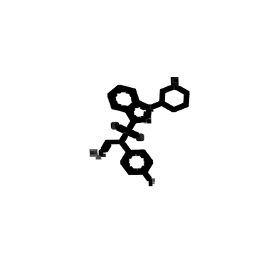 C=CC(c1ccc(F)cc1)S(=O)(=O)c1nn(C2CCCNC2)c2ccccc12